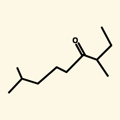 CCC(C)C(=O)CCCC(C)C